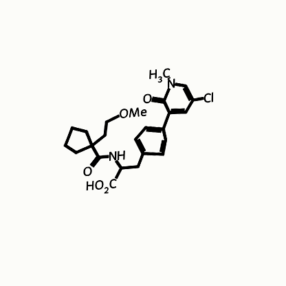 COCCC1(C(=O)NC(Cc2ccc(-c3cc(Cl)cn(C)c3=O)cc2)C(=O)O)CCCC1